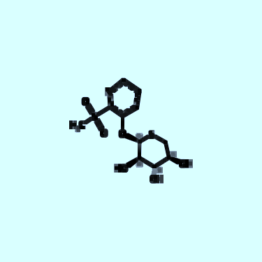 CS(=O)(=O)c1ncccc1O[C@H]1SC[C@@H](O)[C@H](O)[C@H]1O